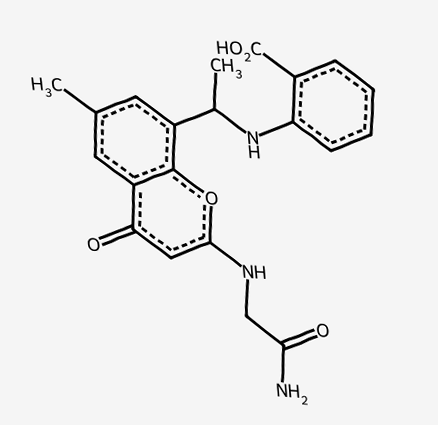 Cc1cc(C(C)Nc2ccccc2C(=O)O)c2oc(NCC(N)=O)cc(=O)c2c1